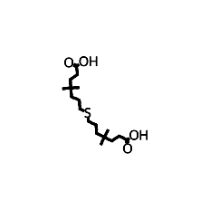 CC(C)(CCCSCCCC(C)(C)CCC(=O)O)CCC(=O)O